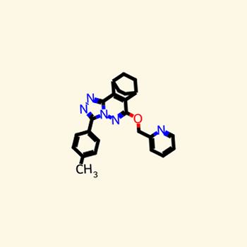 Cc1ccc(-c2nnc3c4c(c(OCc5ccccn5)nn23)C2CCC4CC2)cc1